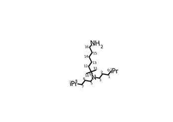 CC(C)CCCN(CCCC(C)C)C(C)(C)CCCCCN